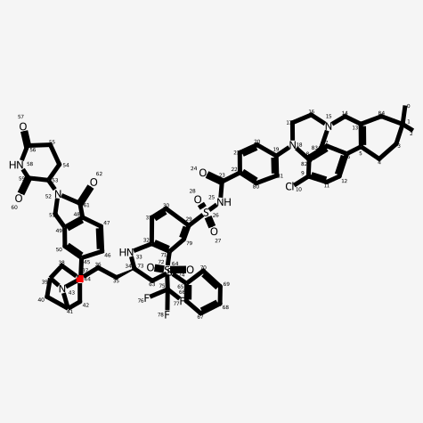 CC1(C)CCC(c2ccc(Cl)cc2)=C(CN2CCN(c3ccc(C(=O)NS(=O)(=O)c4ccc(N[C@H](CCN5CC6CC(C5)N6Cc5ccc6c(c5)CN(C5CCC(=O)NC5=O)C6=O)CSc5ccccc5)c(S(=O)(=O)C(F)(F)F)c4)cc3)CC2)C1